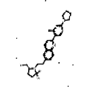 [2H]C[C@@H]1CCC([2H])([2H])N1CCc1ccc2nc(-c3cnc(N4CCCC4)nc3C)ccc2c1